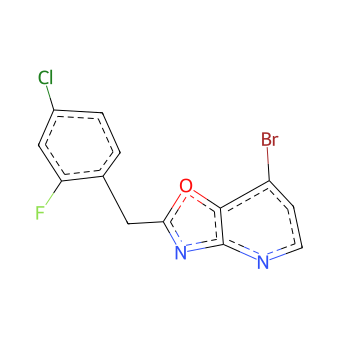 Fc1cc(Cl)ccc1Cc1nc2nccc(Br)c2o1